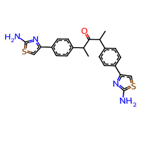 CC(C(=O)C(C)c1ccc(-c2csc(N)n2)cc1)c1ccc(-c2csc(N)n2)cc1